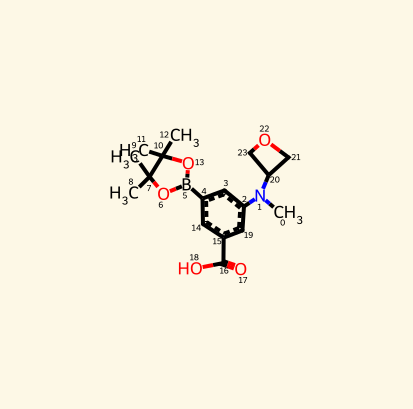 CN(c1cc(B2OC(C)(C)C(C)(C)O2)cc(C(=O)O)c1)C1COC1